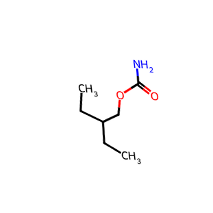 CCC(CC)COC(N)=O